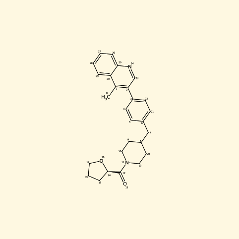 Cc1c(-c2ccc(CC3CCN(C(=O)[C@H]4CCCO4)CC3)cc2)cnc2ccccc12